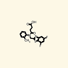 Cc1ccccc1N(Cc1nc2cc(F)cc(F)c2s1)C(=O)CCC(=O)O